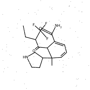 CCC(C(=O)C1C(C(N)=O)=CC=CC1(C)C1CCNC1)C(F)(F)F